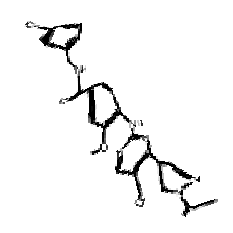 COc1cc(C(=O)NCc2cccc(Cl)c2)ccc1Nc1ncc(Cl)c(-c2cnn(C(C)C)c2)n1